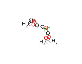 C=C(C)C(=O)Oc1ccc(-c2ccc(OC(F)(F)c3ccc(OC(=O)C(=C)C)cc3)cc2)cc1